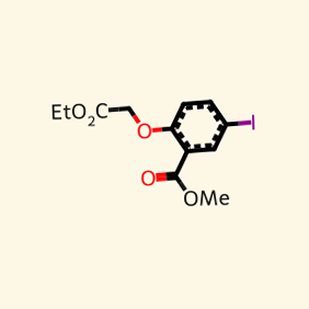 CCOC(=O)COc1ccc(I)cc1C(=O)OC